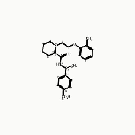 Cc1ccccc1OCCN1CCCC[C@@H]1C(=O)N[C@@H](C)c1ccc(C(=O)O)cc1